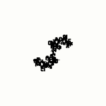 O=C(OCCCCOC(=O)c1cc(Oc2ccc(C(F)(F)F)cc2Cl)ccc1[N+](=O)[O-])c1cc(Oc2ccc(C(F)(F)F)cc2Cl)ccc1[N+](=O)[O-]